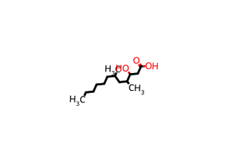 CCCCCCC(C)CC(C)C(O)CC(=O)O